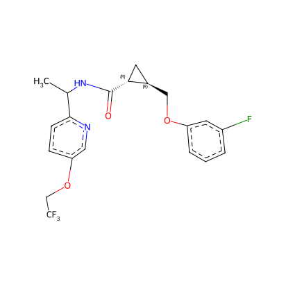 CC(NC(=O)[C@@H]1C[C@H]1COc1cccc(F)c1)c1ccc(OCC(F)(F)F)cn1